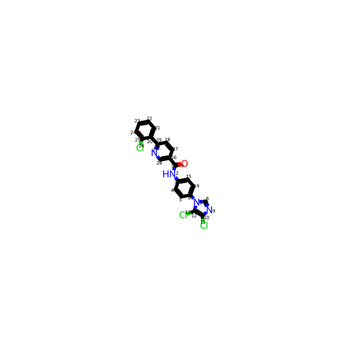 O=C(Nc1ccc(-n2cnc(Cl)c2Cl)cc1)c1ccc(-c2ccccc2Cl)nc1